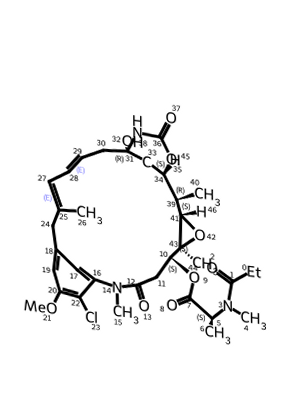 CCC(=O)N(C)[C@@H](C)C(=O)O[C@H]1CC(=O)N(C)c2cc(cc(OC)c2Cl)C/C(C)=C/C=C/C[C@@]2(O)C[C@H](OC(=O)N2)[C@@H](C)[C@@H]2O[C@@]12C